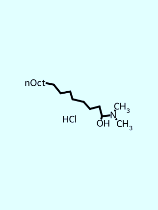 CCCCCCCCCCCCCCCC(O)N(C)C.Cl